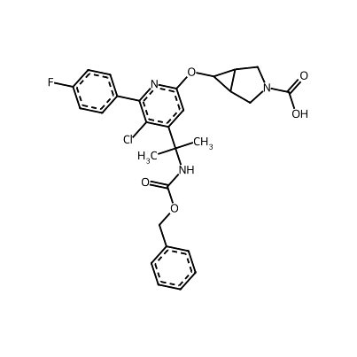 CC(C)(NC(=O)OCc1ccccc1)c1cc(OC2C3CN(C(=O)O)CC32)nc(-c2ccc(F)cc2)c1Cl